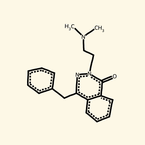 CN(C)CCn1nc(Cc2ccccc2)c2ccccc2c1=O